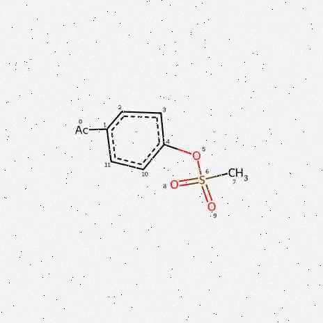 CC(=O)c1ccc(OS(C)(=O)=O)cc1